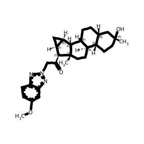 COc1ccc2nn(CC(=O)[C@H]3[C@H]4C[C@H]4[C@H]4[C@@H]5CC[C@@H]6C[C@](C)(O)CC[C@@H]6[C@H]5CC[C@@]43C)nc2c1